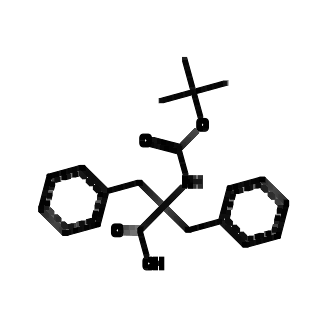 CC(C)(C)OC(=O)NC(Cc1ccccc1)(Cc1ccccc1)C(=O)O